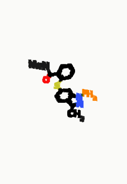 CNC(=O)c1ccccc1Sc1ccc2c(C)nn(P)c2c1